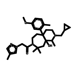 COc1ccc(C)c(C23CCN(CC4CC4)C(C)C2(O)CC(C)(C)N(C(=O)Cn2cc(C)cn2)CC3)c1